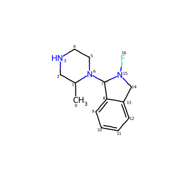 CC1CNCCN1[C]1c2ccccc2CN1F